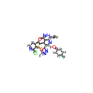 Cc1nnc(-c2c(COc3ccc(F)cc3)nc(CC(C)C)c(C(N)=O)c2-c2cc3ccnc(Cl)c3s2)o1